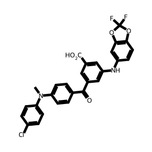 CN(c1ccc(Cl)cc1)c1ccc(C(=O)c2cc(Nc3ccc4c(c3)OC(F)(F)O4)cc(C(=O)O)c2)cc1